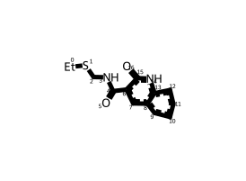 CCSCNC(=O)c1cc2ccccc2[nH]c1=O